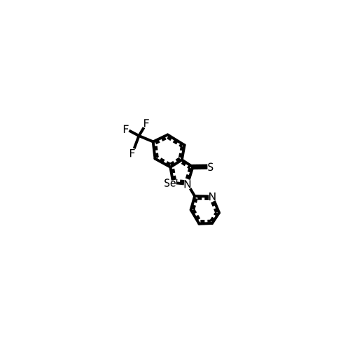 FC(F)(F)c1ccc2c(=S)n(-c3ccccn3)[se]c2c1